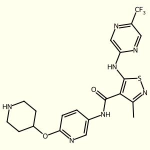 Cc1nsc(Nc2cnc(C(F)(F)F)cn2)c1C(=O)Nc1ccc(OC2CCNCC2)nc1